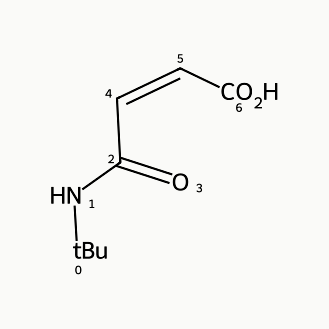 CC(C)(C)NC(=O)/C=C\C(=O)O